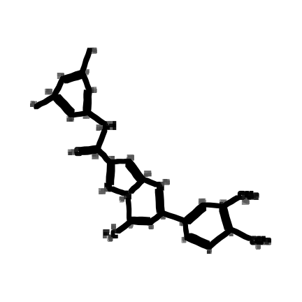 COc1ccc(-c2cc(C(F)(F)F)n3nc(C(=O)Nc4cc(C)cc(C)c4)cc3n2)cc1OC